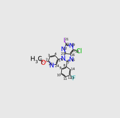 COc1ccc(-n2c(-c3cccc(F)c3)nc3c(Cl)nc(I)nc32)cn1